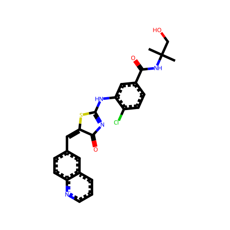 CC(C)(CO)NC(=O)c1ccc(Cl)c(NC2=NC(=O)C(=Cc3ccc4ncccc4c3)S2)c1